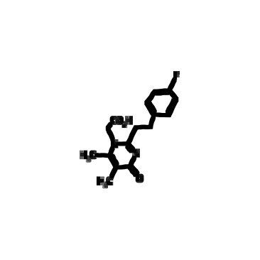 Cc1c(C)n(CC(=O)O)c(CCc2ccc(F)cc2)nc1=O